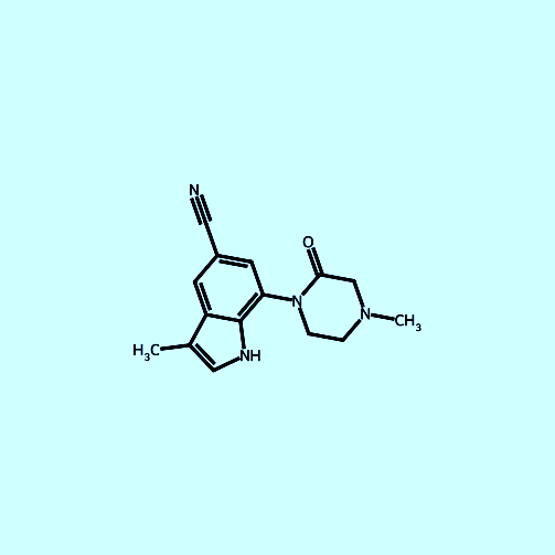 Cc1c[nH]c2c(N3CCN(C)CC3=O)cc(C#N)cc12